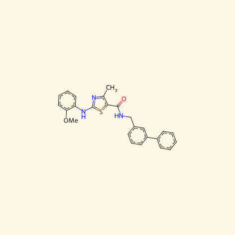 COc1ccccc1Nc1nc(C)c(C(=O)NCc2cccc(-c3ccccc3)c2)s1